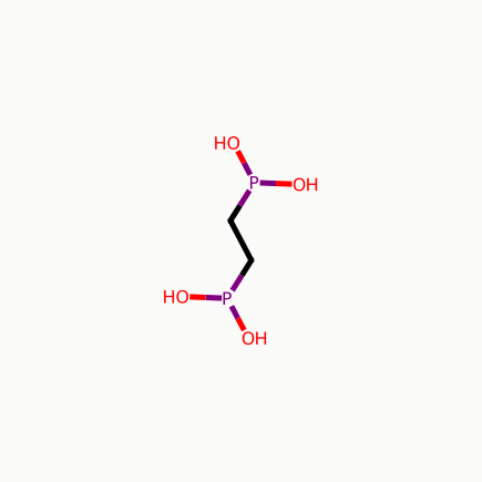 OP(O)CCP(O)O